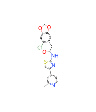 Cc1cc(-c2csc(NC(=O)Cc3cc4c(cc3Cl)OCO4)n2)ccn1